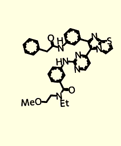 CCN(CCOC)C(=O)c1cccc(Nc2nccc(-c3c(-c4cccc(NC(=O)Cc5ccccc5)c4)nc4sccn34)n2)c1